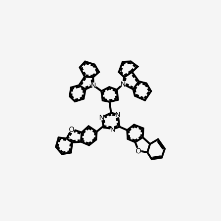 C1=CC2Oc3cc(-c4nc(-c5cc(-n6c7ccccc7c7ccccc76)cc(-n6c7ccccc7c7ccccc76)c5)nc(-c5ccc6c(c5)oc5ccccc56)n4)ccc3C2C=C1